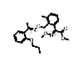 CCCOc1ccccc1/C(C)=N/OCc1c(C)cccc1/C(=N\OC)C(=O)OC